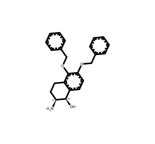 N[C@H]1CCc2c(ccc(OCc3ccccc3)c2OCc2ccccc2)[C@H]1O